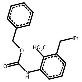 CC(C)Cc1cccc(NC(=O)OCc2ccccc2)c1C(=O)O